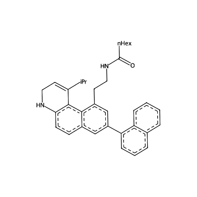 CCCCCCC(=O)NCCc1cc(-c2cccc3ccccc23)cc2ccc3c(c12)C(C(C)C)=CCN3